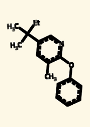 CCC(C)(C)c1cnc(Oc2ccccc2)c(C)c1